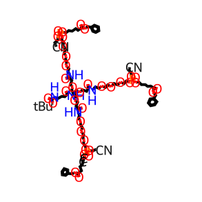 CC(C)(C)OC(=O)NCCCC(=O)NC(COCCC(=O)NCCOCCOCCOCCOP(=O)(OCCC#N)OCCCCCC(=O)OCc1ccccc1)(COCCC(=O)NCCOCCOCCOCCOP(=O)(OCCC#N)OCCCCCC(=O)OCc1ccccc1)COCCC(=O)NCCOCCOCCOCCOP(=O)(OCCC#N)OCCCCCC(=O)OCc1ccccc1